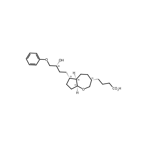 O=C(O)CCC[C@H]1CC[C@@H]2[C@@H](CC[C@@H](O)COc3ccccc3)CC[C@@H]2OC1